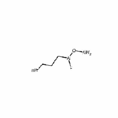 CCCCC[CH2][Al]([F])[O][AlH2]